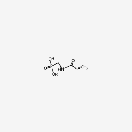 C=CC(=O)NCP(=O)(O)O